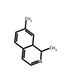 CC1=CC2C(=CC=NC2C)C=C1